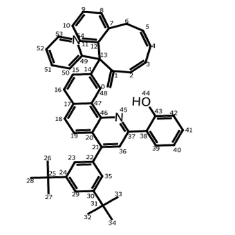 C=C1/C=C\C=C/Cc2ccccc2C1(c1ccc2ccc3c(-c4cc(C(C)(C)C)cc(C(C)(C)C)c4)cc(-c4ccccc4O)nc3c2c1)c1ccccn1